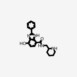 O=C(NCC1CCCCN1)c1ccc(O)c2nc(-c3ccccc3)[nH]c12